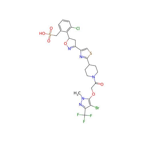 Cn1nc(C(F)(F)F)c(Br)c1OCC(=O)N1CCC(c2nc(C3=NOC(c4c(Cl)cccc4CS(=O)(=O)O)C3)cs2)CC1